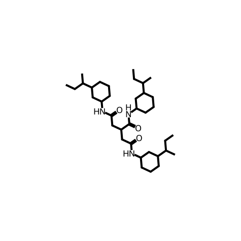 CCC(C)C1CCCC(NC(=O)CC(CC(=O)NC2CCCC(C(C)CC)C2)C(=O)NC2CCCC(C(C)CC)C2)C1